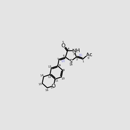 CC(=O)/C=c1\[nH]c(=O)/c(=C/c2ccc3c(c2)CCCO3)s1